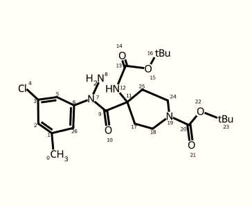 Cc1cc(Cl)cc(N(N)C(=O)C2(NC(=O)OC(C)(C)C)CCN(C(=O)OC(C)(C)C)CC2)c1